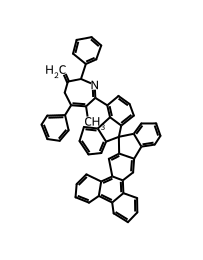 C=C1CC(c2ccccc2)=C(C)C(c2cccc3c2-c2ccccc2C32c3ccccc3-c3cc4c5ccccc5c5ccccc5c4cc32)=NC1c1ccccc1